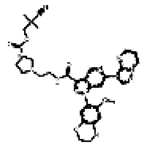 COc1cc2c(cc1-n1nc(C(=O)NCCN3CC[C@@H](C(=O)OCC(C)(C)C#N)C3)c3cnc(-c4cnn5cccnc45)cc31)OCCN2